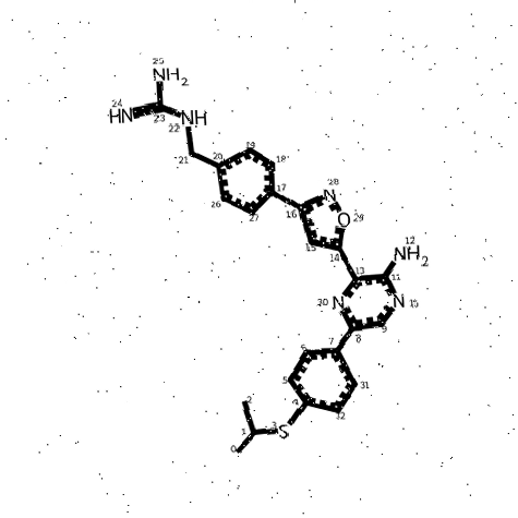 CC(C)Sc1ccc(-c2cnc(N)c(-c3cc(-c4ccc(CNC(=N)N)cc4)no3)n2)cc1